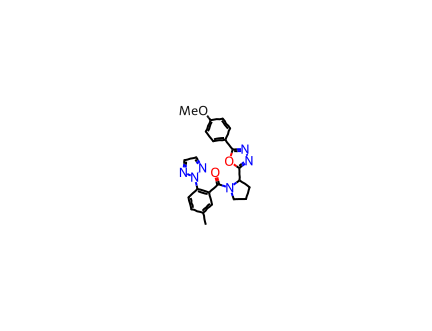 COc1ccc(-c2nnc(C3CCCN3C(=O)c3cc(C)ccc3-n3nccn3)o2)cc1